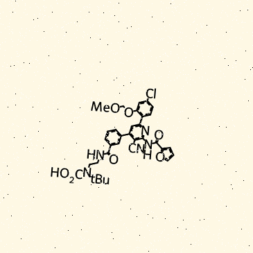 COCOc1cc(Cl)ccc1-c1cc(-c2cccc(C(=O)NCCN(C(=O)O)C(C)(C)C)c2)c(C#N)c(NC(=O)c2ccco2)n1